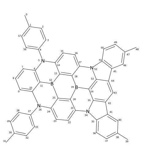 Cc1ccc(N2c3cccc4c3B3c5c2ccc2c5B5c6c(ccc(c63)N4c3ccc(C)cc3)-n3c4ccc(C)cc4c4cc6c7cc(C)ccc7n-2c6c5c43)cc1